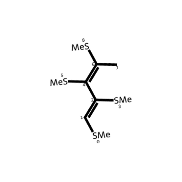 CS/C=C(SC)/C(SC)=C(\C)SC